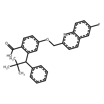 CC(C)(C)C(c1ccccc1)c1cc(OCc2ccc3cc(F)ccc3n2)ccc1C(=O)O